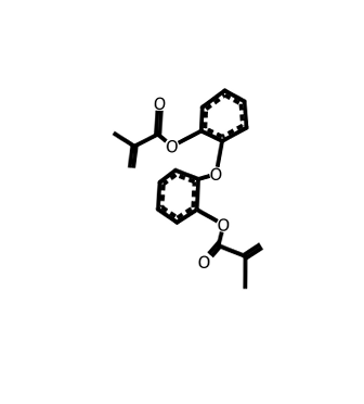 C=C(C)C(=O)Oc1ccccc1Oc1ccccc1OC(=O)C(=C)C